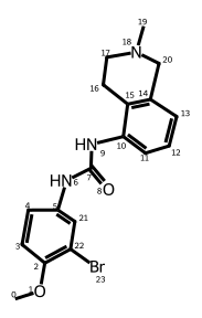 COc1ccc(NC(=O)Nc2cccc3c2CCN(C)C3)cc1Br